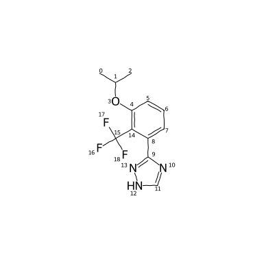 CC(C)Oc1cccc(-c2nc[nH]n2)c1C(F)(F)F